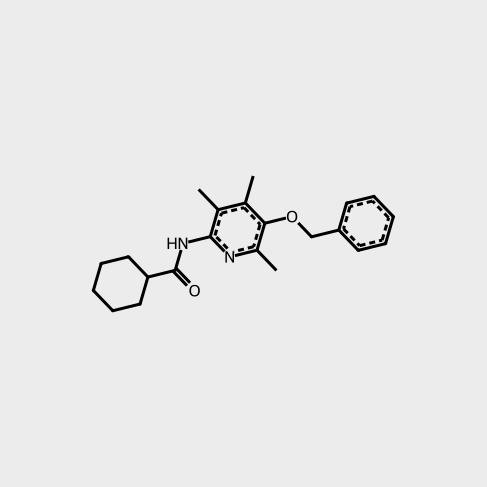 Cc1nc(NC(=O)C2CCCCC2)c(C)c(C)c1OCc1ccccc1